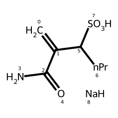 C=C(C(N)=O)C(CCC)S(=O)(=O)O.[NaH]